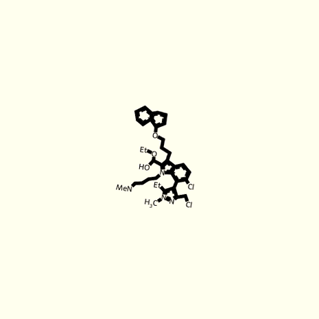 CCOC(O)c1c(CCCOc2cccc3ccccc23)c2ccc(Cl)c(-c3c(CCl)nn(C)c3CC)c2n1CCCCNC